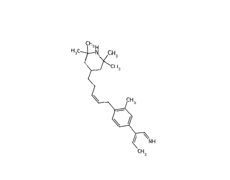 C/C=C(\C=N)c1ccc(C/C=C\CCC2CC(C)(C)NC(C)(C)C2)c(C)c1